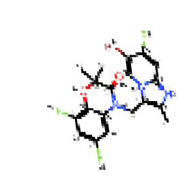 Cc1nc2cc(F)c(Br)cn2c1CN1C(=O)C(C)(C)Oc2c(F)cc(F)cc21